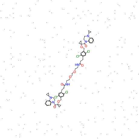 O=C(CCc1cc(Cl)c(COC2(C(=O)N3CCN(C4CC4)c4ccccc43)CC2)cc1Cl)NCCOCCOCCNC(=O)CCc1cc(Cl)c(COC2(C(=O)N3CCN(C4CC4)c4ccccc43)CC2)cc1Cl